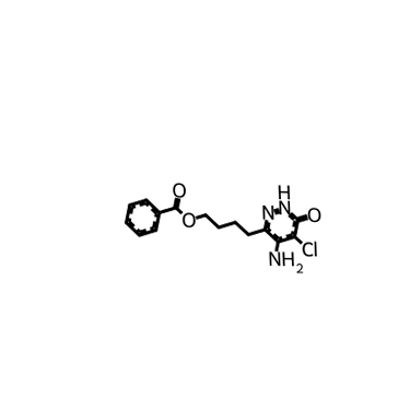 Nc1c(CCCCOC(=O)c2ccccc2)n[nH]c(=O)c1Cl